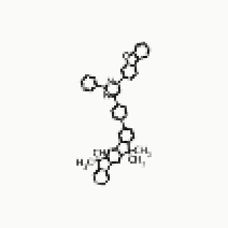 CC1(C)C2=CCCC=C2c2cc3c(cc21)-c1cc(-c2ccc(-c4cc(-c5ccc6c(c5)oc5ccccc56)nc(-c5ccccc5)n4)cc2)ccc1C3(C)C